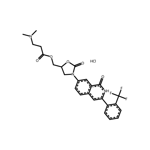 CN(C)CCC(=O)OCC1CN(c2ccc3cc(-c4ccccc4C(F)(F)F)[nH]c(=O)c3c2)C(=O)O1.Cl